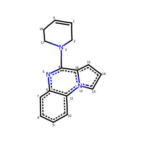 C1=CCN(c2nc3ccccc3n3cccc23)CC1